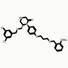 COc1ccccc1COCCCOc1ccc(N2C(=O)CNC[C@@H]2COCc2cc(Cl)cc(Cl)c2)cc1